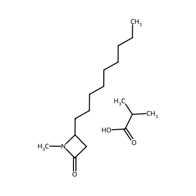 CC(C)C(=O)O.CCCCCCCCCC1CC(=O)N1C